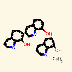 Oc1cccc2cccnc12.Oc1cccc2cccnc12.Oc1cccc2cccnc12.[CaH2]